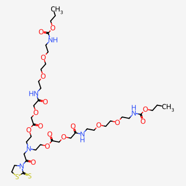 CCCOC(=O)NCCOCCOCCNC(=O)COCC(=O)OCCN(CCOC(=O)COCC(=O)NCCOCCOCCNC(=O)OCCC)CC(=O)N1CCSC1=S